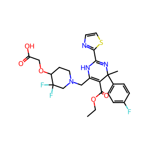 CCOC(=O)C1=C(CN2CCC(OCC(=O)O)C(F)(F)C2)NC(c2nccs2)=NC1(C)c1ccc(F)cc1